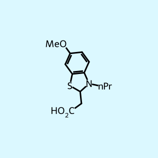 CCCN1c2ccc(OC)cc2SC1CC(=O)O